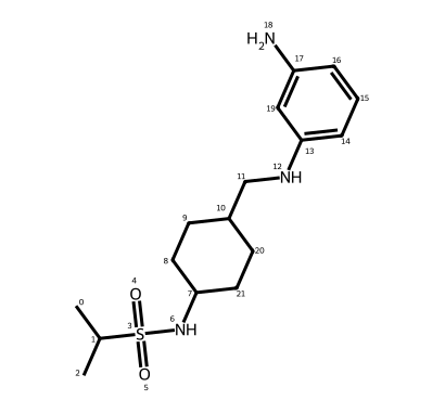 CC(C)S(=O)(=O)NC1CCC(CNc2cccc(N)c2)CC1